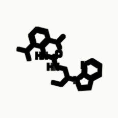 CCC(CNC(=O)Nc1c(C(C)C)cccc1C(C)C)n1ccc2cccnc21